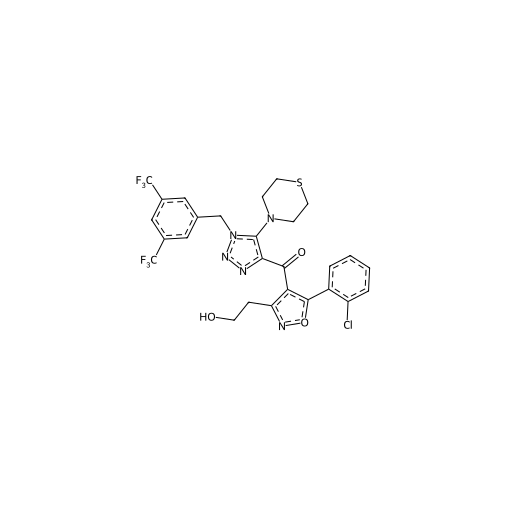 O=C(c1nnn(Cc2cc(C(F)(F)F)cc(C(F)(F)F)c2)c1N1CCSCC1)c1c(CCO)noc1-c1ccccc1Cl